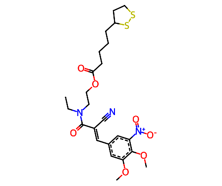 CCN(CCOC(=O)CCCCC1CCSS1)C(=O)/C(C#N)=C/c1cc(OC)c(OC)c([N+](=O)[O-])c1